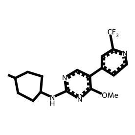 COc1nc(NC2CCC(C)CC2)ncc1-c1ccnc(C(F)(F)F)c1